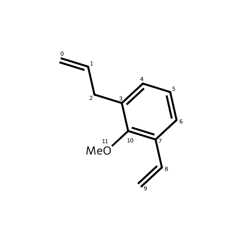 C=CCc1cccc(C=C)c1OC